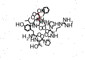 CC[C@H](C)[C@H](NC(=O)[C@@H]1CCCN1C(=O)[C@H](CCCNC(=N)N)NC(=O)[C@@H]1CCCN1C(=O)[C@@H](NC(=O)[C@@H](N)Cc1ccc(O)cc1)[C@@H](C)O)C(=O)N[C@@H](CC(C)C)C(=O)N[C@@H](Cc1ccccc1)C(=O)O